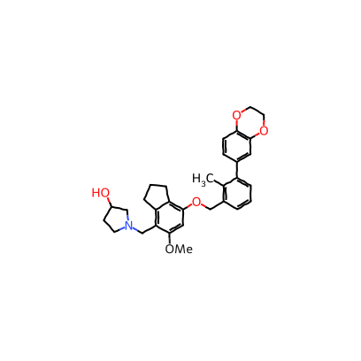 COc1cc(OCc2cccc(-c3ccc4c(c3)OCCO4)c2C)c2c(c1CN1CCC(O)C1)CCC2